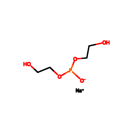 [Na+].[O-]P(OCCO)OCCO